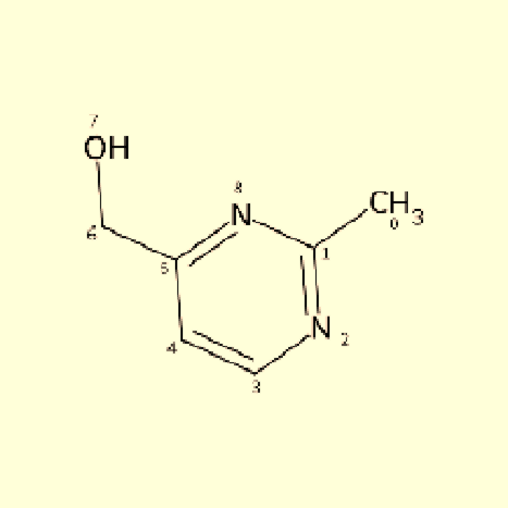 Cc1nccc([CH]O)n1